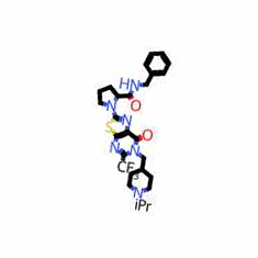 CC(C)N1CCC(Cn2c(C(F)(F)F)nc3sc(N4CCCC4C(=O)NCc4ccccc4)nc3c2=O)CC1